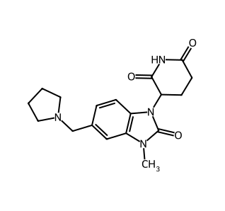 Cn1c(=O)n(C2CCC(=O)NC2=O)c2ccc(CN3CCCC3)cc21